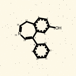 Oc1ccc2c(c1)C(c1ccccc1)=CN=CC2